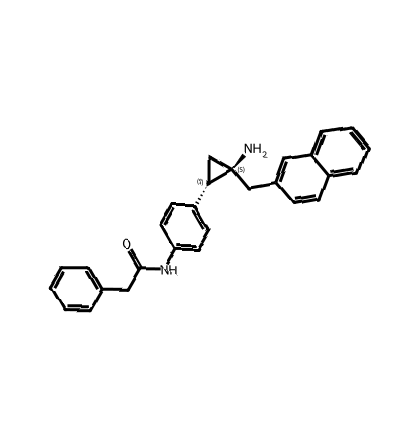 N[C@]1(Cc2ccc3ccccc3c2)C[C@H]1c1ccc(NC(=O)Cc2ccccc2)cc1